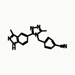 Cc1n[nH]c2ccc(-c3nnc(C)n3Cc3ccc(C#N)cc3)cc12